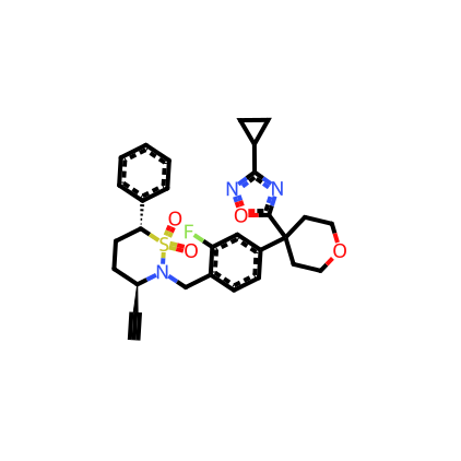 C#C[C@H]1CC[C@H](c2ccccc2)S(=O)(=O)N1Cc1ccc(C2(c3nc(C4CC4)no3)CCOCC2)cc1F